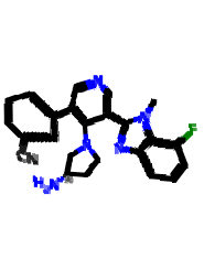 Cn1c(-c2cncc(-c3cccc(C#N)c3)c2N2CC[C@H](N)C2)nc2cccc(F)c21